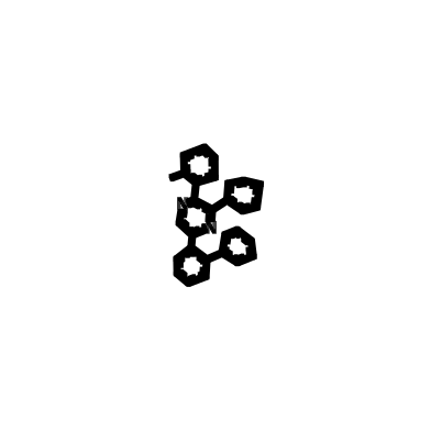 Cc1ccccc1-c1ncc(-c2ccccc2-c2ccccc2)nc1-c1ccccc1